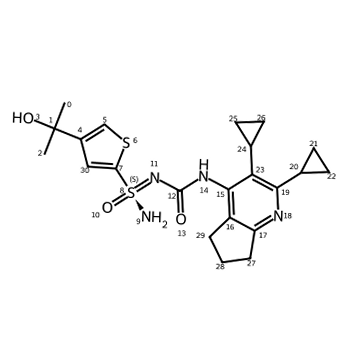 CC(C)(O)c1csc([S@@](N)(=O)=NC(=O)Nc2c3c(nc(C4CC4)c2C2CC2)CCC3)c1